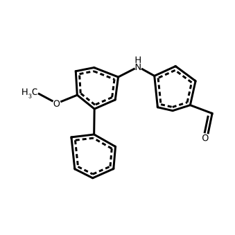 COc1ccc(Nc2ccc(C=O)cc2)cc1-c1ccccc1